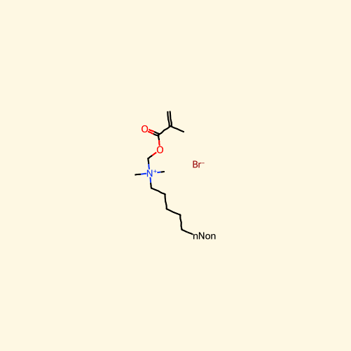 C=C(C)C(=O)OC[N+](C)(C)CCCCCCCCCCCCCC.[Br-]